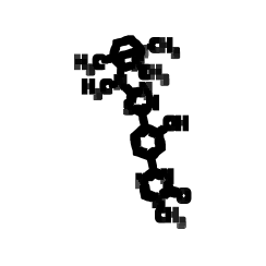 CN(c1nnc(-c2ccc(-c3ncn(C)c(=O)n3)cc2O)s1)C1C(F)[C@@]2(C)CCC1(C)CN2C